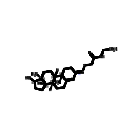 C[C@]12CC[C@H]3[C@@H](CCC4=C/C(=N/OCC(=O)NCC(=O)O)CC[C@@]43C)[C@@H]1CC[C@H]2O